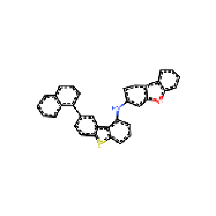 c1ccc2c(-c3ccc4sc5cccc(Nc6ccc7c(c6)oc6ccccc67)c5c4c3)cccc2c1